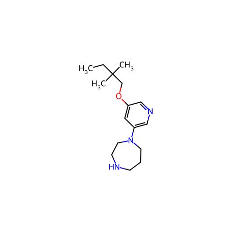 CCC(C)(C)COc1cncc(N2CCCNCC2)c1